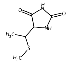 CSC(C)C1NC(=O)NC1=O